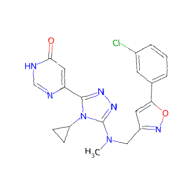 CN(Cc1cc(-c2cccc(Cl)c2)on1)c1nnc(-c2cc(=O)[nH]cn2)n1C1CC1